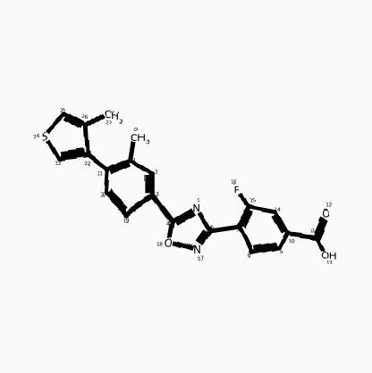 Cc1cc(-c2nc(-c3ccc(C(=O)O)cc3F)no2)ccc1-c1cscc1C